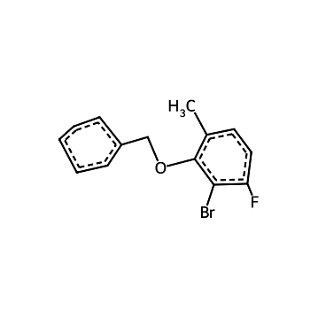 Cc1ccc(F)c(Br)c1OCc1ccccc1